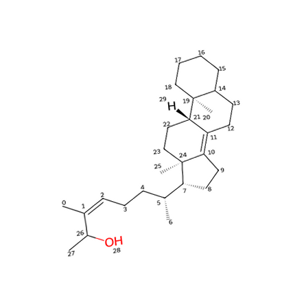 CC(=CCC[C@@H](C)[C@H]1CCC2=C3CCC4CCCC[C@]4(C)[C@H]3CC[C@@]21C)C(C)O